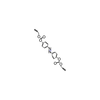 C#CCOC(=O)Oc1ccc(/N=N/c2ccc(OC(=O)OCC#C)cc2)cc1